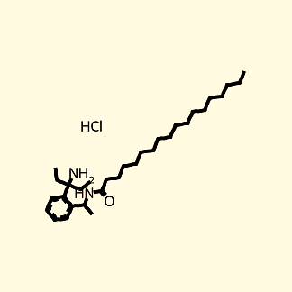 CCCCCCCCCCCCCCCCCC(=O)NC(C)c1ccccc1C(N)(CC)CC.Cl